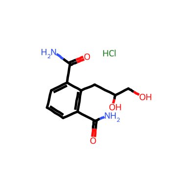 Cl.NC(=O)c1cccc(C(N)=O)c1CC(O)CO